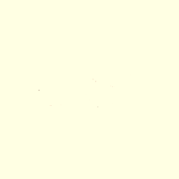 CCc1sc(-c2ccc(Cl)cc2)nc1C(C=O)C(=O)C1CCCC(C)C1